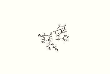 N#Cc1cncn1CC12CC3CC(CC(C3)C1)C2.O=C1C=C(c2cc(F)cc(F)c2F)C=N1